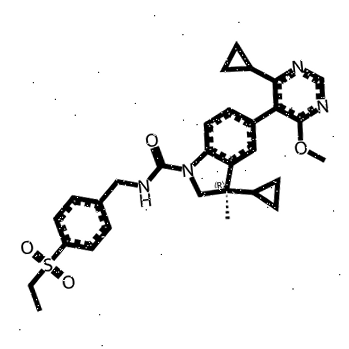 CCS(=O)(=O)c1ccc(CNC(=O)N2C[C@](C)(C3CC3)c3cc(-c4c(OC)ncnc4C4CC4)ccc32)cc1